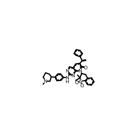 C=C(c1ccccc1)c1cc2cnc(Nc3ccc(C4CCCN(C)C4)cc3)nc2n(C2Cc3ccccc3S(=O)(=O)C2(C)C)c1=O